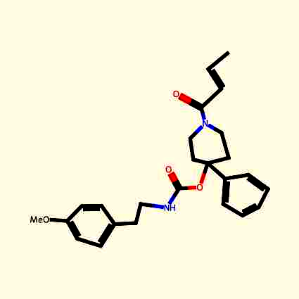 CC=CC(=O)N1CCC(OC(=O)NCCc2ccc(OC)cc2)(c2ccccc2)CC1